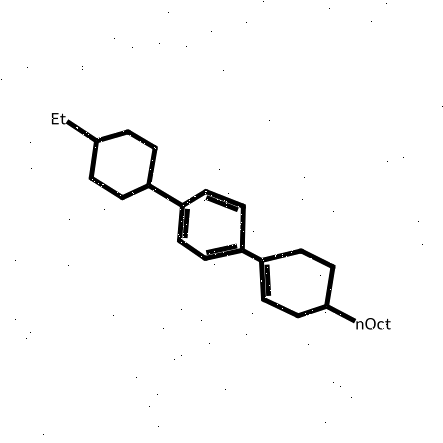 CCCCCCCCC1CC=C(c2ccc(C3CCC(CC)CC3)cc2)CC1